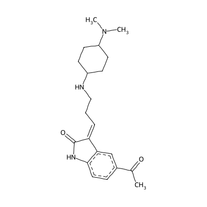 CC(=O)c1ccc2c(c1)C(=CCCNC1CCC(N(C)C)CC1)C(=O)N2